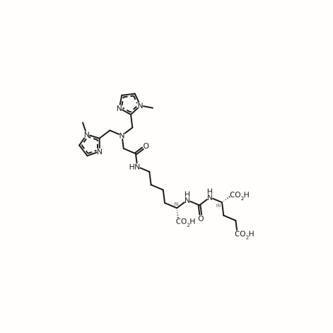 Cn1ccnc1CN(CC(=O)NCCCC[C@H](NC(=O)N[C@@H](CCC(=O)O)C(=O)O)C(=O)O)Cc1nccn1C